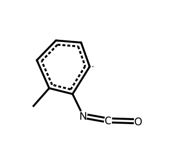 Cc1ccc[c]c1N=C=O